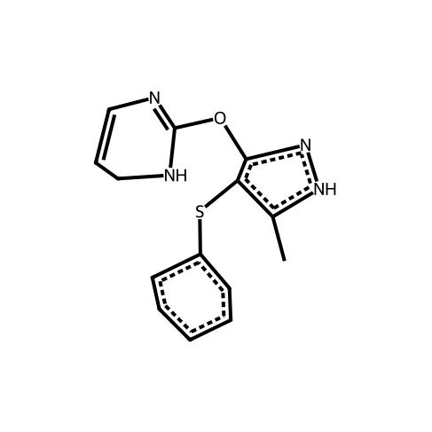 Cc1[nH]nc(OC2=NC=CCN2)c1Sc1ccccc1